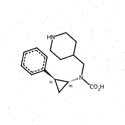 O=C(O)N(CC1CCNCC1)[C@@H]1C[C@H]1c1ccccc1